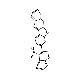 O=[N+]([O-])c1c(-c2ccc3c(c2)oc2cc4ccccc4cc23)ccc2ccccc12